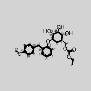 CCOC(=O)OC[C@H]1C[C@@H](Oc2ccccc2Cc2ccc(OC)cc2)[C@H](O)[C@@H](O)[C@@H]1O